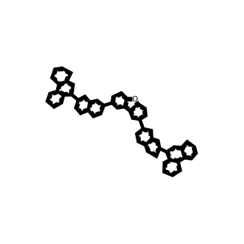 c1ccc2c(c1)cc(-c1ccc3ccc(-c4ccc5oc6ccc(-c7ccc8ccc(-c9cc%10ccccc%10c%10ccccc9%10)cc8c7)cc6c5c4)cc3c1)c1ccccc12